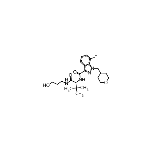 CC(C)(C)[C@H](NC(=O)c1nn(CC2CCOCC2)c2c(F)cccc12)C(=O)NCCCO